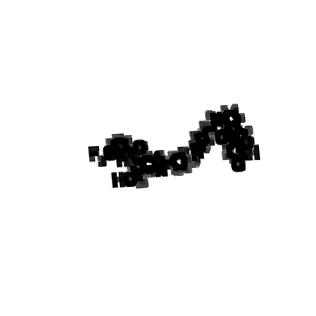 C=C1c2cccc(N(C)CCC3CC4(C3)CN(C[C@H]3CC[C@H](c5nc6cc(C(C)(C)O)c(NC(=O)c7cccc(C(F)(F)F)n7)cc6s5)CC3)C4)c2C(=O)N1C1CCC(=O)NC1=O